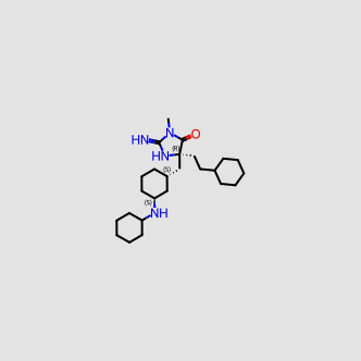 CN1C(=N)N[C@](CCC2CCCCC2)(C[C@H]2CCC[C@H](NC3CCCCC3)C2)C1=O